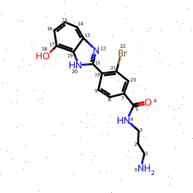 NCCCNC(=O)c1ccc(-c2nc3cccc(O)c3[nH]2)c(Br)c1